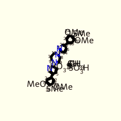 COc1cc(-c2ccc(N3CCCN(c4ccc(-c5cc(OC)c(SC)c(OC)c5)cn4)CC3)nc2)cc(OC)c1SC.CS(=O)(=O)O.CS(=O)(=O)O